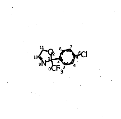 FC(F)(F)C1(c2ccc(Cl)cc2)N=CCO1